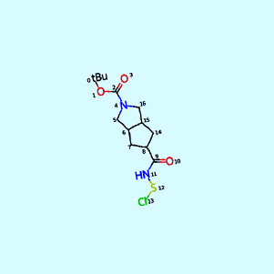 CC(C)(C)OC(=O)N1CC2CC(C(=O)NSCl)CC2C1